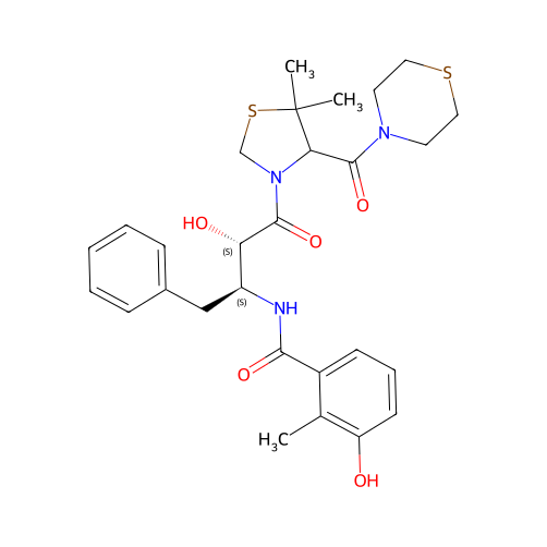 Cc1c(O)cccc1C(=O)N[C@@H](Cc1ccccc1)[C@H](O)C(=O)N1CSC(C)(C)C1C(=O)N1CCSCC1